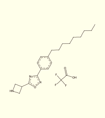 CCCCCCCCCc1ccc(-c2noc(C3CNC3)n2)cc1.O=C(O)C(F)(F)F